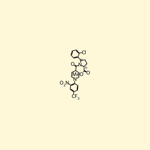 COC(=O)[C@@H]1CC[C@H](c2ccccc2Cl)N1C(=O)C1CCN(c2ccc(C(F)(F)F)cc2[N+](=O)[O-])CC1